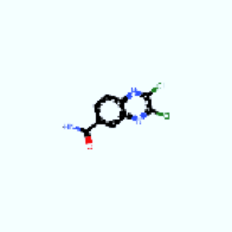 [NH]C(=O)c1ccc2nc(Cl)c(Cl)nc2c1